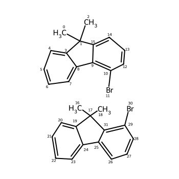 CC1(C)c2ccccc2-c2c(Br)cccc21.CC1(C)c2ccccc2-c2cccc(Br)c21